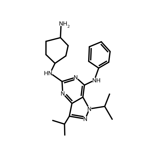 CC(C)c1nn(C(C)C)c2c(Nc3ccccc3)nc(NC3CCC(N)CC3)nc12